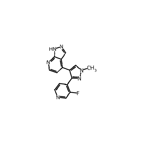 Cn1cc(-c2ccnc3[nH]ncc23)c(-c2ccncc2F)n1